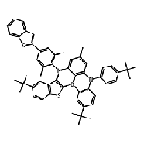 Cc1cc2c3c(c1)N(c1c(C)cc(-c4cc5ccccc5s4)cc1C)c1c(sc4ccc(C(C)(C)C)cc14)B3c1cc(C(C)(C)C)ccc1N2c1ccc(C(C)(C)C)cc1